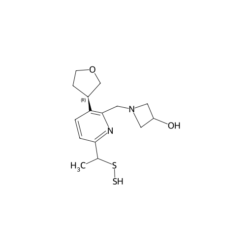 CC(SS)c1ccc([C@H]2CCOC2)c(CN2CC(O)C2)n1